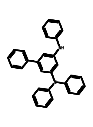 c1ccc(Nc2cc(-c3ccccc3)cc(N(c3ccccc3)c3ccccc3)c2)cc1